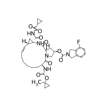 CC1(OC(=O)N[C@H]2CCCCCC=C[C@@H]3C[C@@]3(C(=O)NS(=O)(=O)C3CC3)NC(=O)[C@@H]3C[C@@H](OC(=O)N4Cc5cccc(F)c5C4)CN3C2=O)CC1